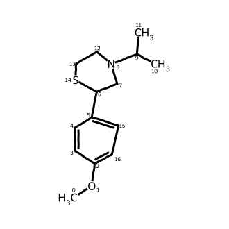 COc1ccc(C2CN(C(C)C)CCS2)cc1